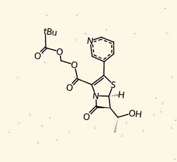 C[C@@H](O)[C@H]1C(=O)N2C(C(=O)OCOC(=O)C(C)(C)C)=C(c3cccnc3)S[C@@H]12